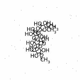 CCOC1C(O)C(CO)OC(OC2C(C(=O)O)OC(OC3C(CO)OC(OC4C(C)OC(C(C)(C)C)C(O)C4O)C(O)C3O)C(O)C2O)C1O